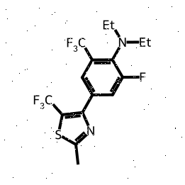 CCN(CC)c1c(F)cc(-c2nc(C)sc2C(F)(F)F)cc1C(F)(F)F